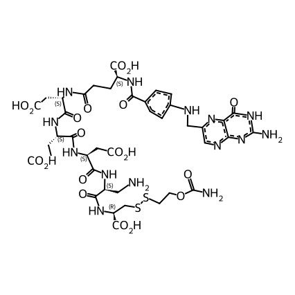 NC[C@H](NC(=O)[C@H](CC(=O)O)NC(=O)[C@H](CC(=O)O)NC(=O)[C@H](CC(=O)O)NC(=O)CC[C@H](NC(=O)c1ccc(NCc2cnc3nc(N)[nH]c(=O)c3n2)cc1)C(=O)O)C(=O)N[C@@H](CSSCCOC(N)=O)C(=O)O